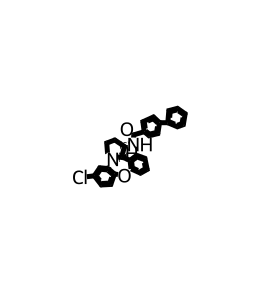 O=C(N[C@H]1CCCN2c3cc(Cl)ccc3Oc3ccccc3[C@@H]12)c1ccc(-c2ccccc2)cc1